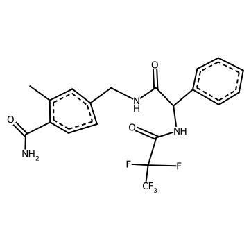 Cc1cc(CNC(=O)C(NC(=O)C(F)(F)C(F)(F)F)c2ccccc2)ccc1C(N)=O